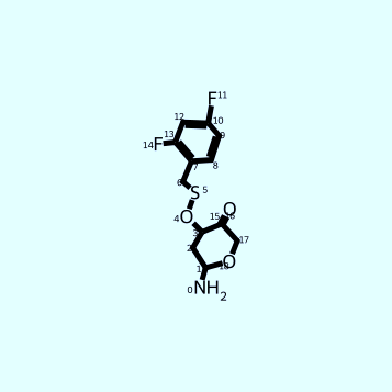 NC1CC(OSCc2ccc(F)cc2F)C(=O)CO1